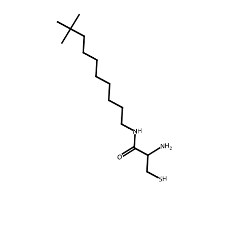 CC(C)(C)CCCCCCCCNC(=O)C(N)CS